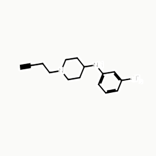 C#CCCN1CCC(Nc2cccc(C(F)(F)F)c2)CC1